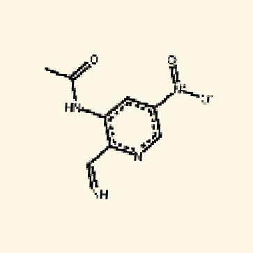 CC(=O)Nc1cc([N+](=O)[O-])cnc1C=N